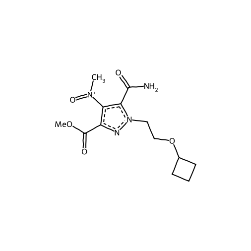 COC(=O)c1nn(CCOC2CCC2)c(C(N)=O)c1[N+](C)=O